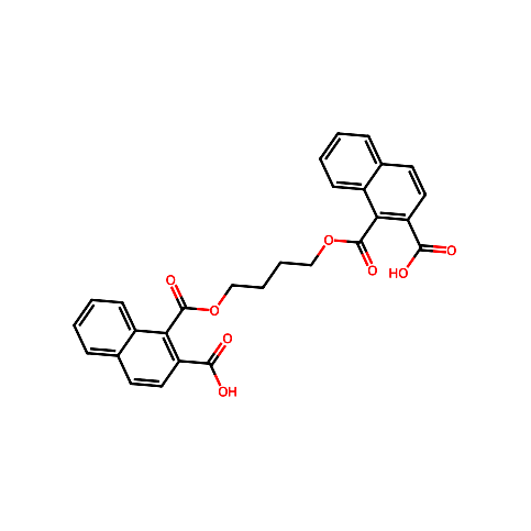 O=C(O)c1ccc2ccccc2c1C(=O)OCCCCOC(=O)c1c(C(=O)O)ccc2ccccc12